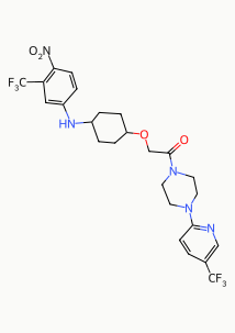 O=C(COC1CCC(Nc2ccc([N+](=O)[O-])c(C(F)(F)F)c2)CC1)N1CCN(c2ccc(C(F)(F)F)cn2)CC1